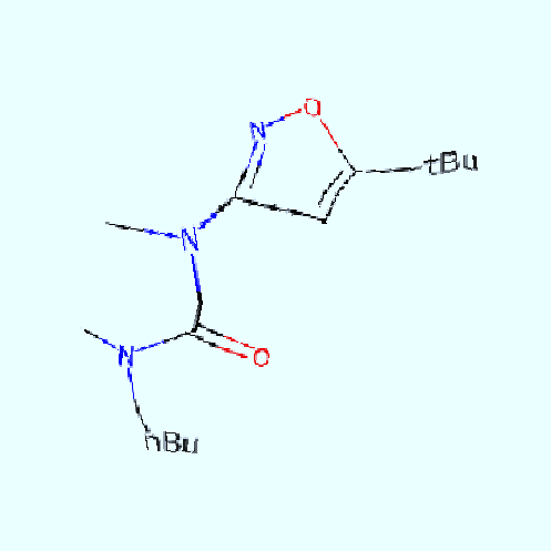 CCCCN(C)C(=O)N(C)c1cc(C(C)(C)C)on1